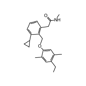 CCc1cc(C)c(OCc2c(CC(=O)NC)cccc2C2CC2)cc1C